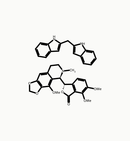 COc1ccc2c(c1OC)C(=O)O[C@@H]2[C@H]1c2c(cc3c(c2OC)OCO3)CCN1C.c1ccc2[nH]c(Cc3cc4ccccc4[nH]3)cc2c1